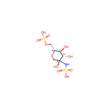 O=S(=O)(O)N[C@]1(O)CO[C@H](COS(=O)(=O)O)[C@@H](O)[C@@H]1O